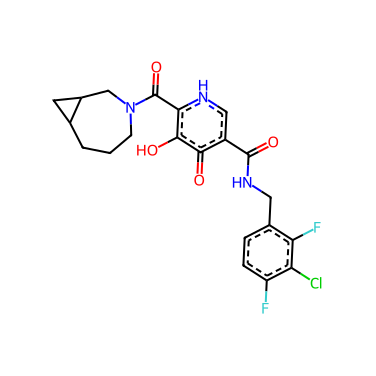 O=C(NCc1ccc(F)c(Cl)c1F)c1c[nH]c(C(=O)N2CCCC3CC3C2)c(O)c1=O